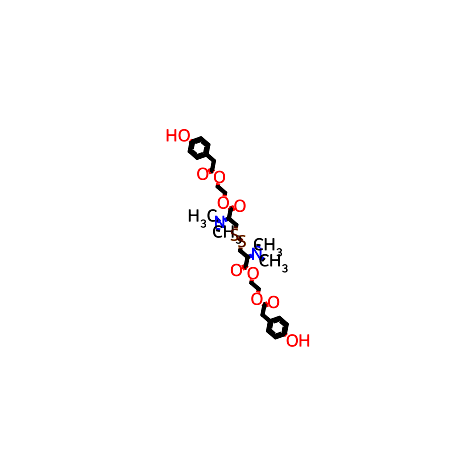 CN(C)C(CSSCC(C(=O)OCCOC(=O)Cc1ccc(O)cc1)N(C)C)C(=O)OCCOC(=O)Cc1ccc(O)cc1